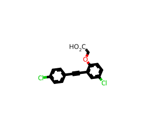 O=C(O)COc1ccc(Cl)cc1C#Cc1ccc(Cl)cc1